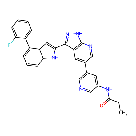 CCC(=O)Nc1cncc(-c2cnc3[nH]nc(C4=CC5C(c6ccccc6F)=CC=CC5N4)c3c2)c1